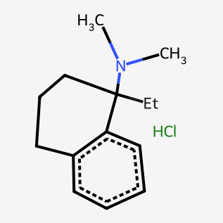 CCC1(N(C)C)CCCc2ccccc21.Cl